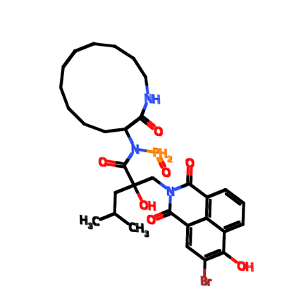 CC(C)CC(O)(CN1C(=O)c2cccc3c(O)c(Br)cc(c23)C1=O)C(=O)N([PH2]=O)C1CCCCCCCCCCNC1=O